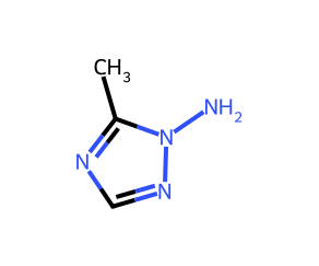 Cc1ncnn1N